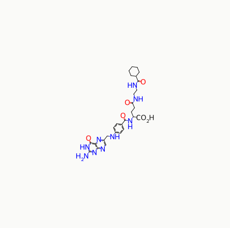 Nc1nc2ncc(CNc3ccc(C(=O)NC(CCC(=O)NCCNC(=O)C4CCCCC4)C(=O)O)cc3)nc2c(=O)[nH]1